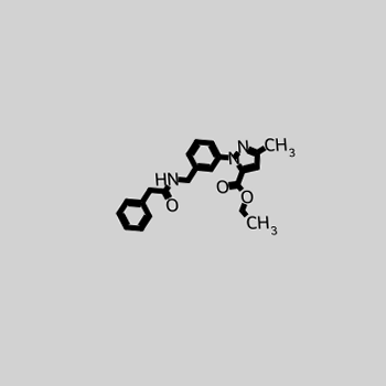 CCOC(=O)c1cc(C)nn1-c1cccc(CNC(=O)Cc2ccccc2)c1